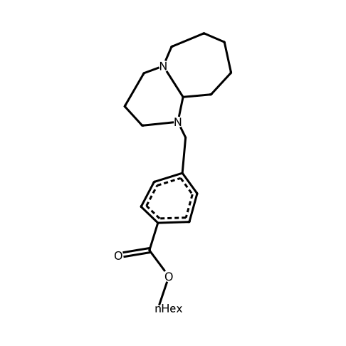 CCCCCCOC(=O)c1ccc(CN2CCCN3CCCCCC32)cc1